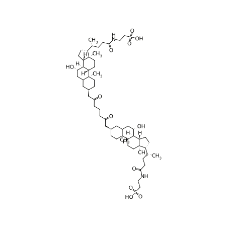 C[C@H](CCC(=O)NCCS(=O)(=O)O)[C@H]1CC[C@H]2[C@@H]3[C@@H](O)CC4C[C@H](CC(=O)CCCC(=O)C[C@@H]5CC[C@@]6(C)C(C5)C[C@H](O)[C@H]5[C@@H]7CC[C@H]([C@H](C)CCC(=O)NCCS(=O)(=O)O)[C@@]7(C)CC[C@@H]56)CC[C@]4(C)[C@H]3CC[C@]12C